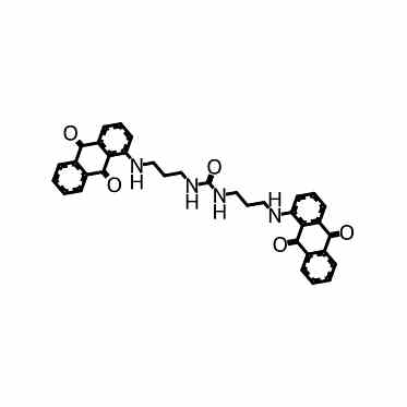 O=C(NCCCNc1cccc2c1C(=O)c1ccccc1C2=O)NCCCNc1cccc2c1C(=O)c1ccccc1C2=O